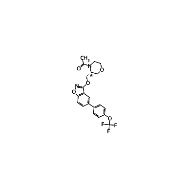 CC(=O)N1CCOC[C@@H]1COc1noc2ccc(-c3ccc(OC(F)(F)F)cc3)cc12